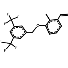 Cc1c(C=O)cccc1OCc1cc(C(F)(F)F)cc(C(F)(F)F)c1